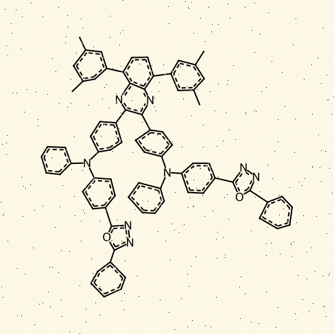 Cc1cc(C)cc(-c2ccc(-c3cc(C)cc(C)c3)c3nc(-c4ccc(N(c5ccccc5)c5ccc(-c6nnc(-c7ccccc7)o6)cc5)cc4)c(-c4ccc(N(c5ccccc5)c5ccc(-c6nnc(-c7ccccc7)o6)cc5)cc4)nc23)c1